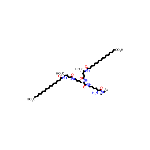 CC(=O)CN(C)C(=O)[C@@H](N)CCCCNC(=O)[C@H](CCCCNC(=O)CC[C@H](NC(=O)CCCCCCCCCCCCCCC(=O)O)C(=O)O)NC(=O)CC[C@H](NC(=O)CCCCCCCCCCCCCCC(=O)O)C(=O)O